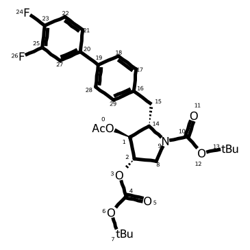 CC(=O)O[C@@H]1[C@@H](OC(=O)OC(C)(C)C)CN(C(=O)OC(C)(C)C)[C@H]1Cc1ccc(-c2ccc(F)c(F)c2)cc1